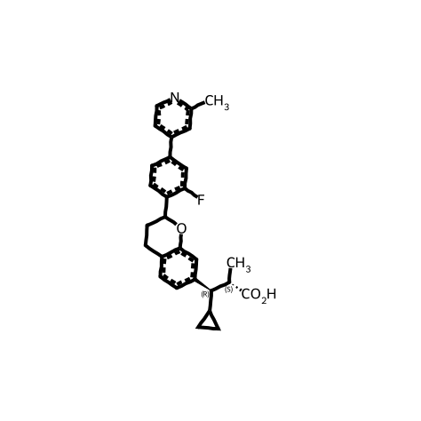 Cc1cc(-c2ccc(C3CCc4ccc([C@H](C5CC5)[C@H](C)C(=O)O)cc4O3)c(F)c2)ccn1